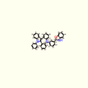 c1ccc(-n2c3c(c4ccccc42)-c2ccccc2N(c2cccc(C4Nc5ccccc5O4)c2)c2ccccc2-3)cc1